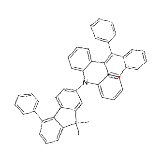 CC1(C)c2cc(N(c3ccccc3)c3ccccc3-c3ccc4ccccc4c3-c3ccccc3)ccc2-c2c(-c3ccccc3)cccc21